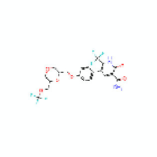 NC(=O)c1cc(-c2ccc(OCC3COCC(COC(F)(F)F)O3)cc2)c(C(F)(F)F)[nH]c1=O